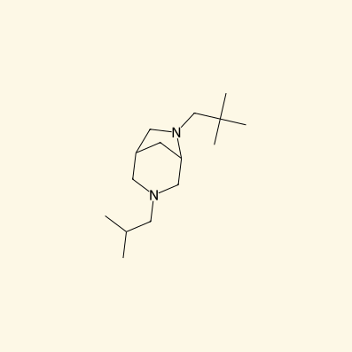 CC(C)CN1CC2CC(C1)N(CC(C)(C)C)C2